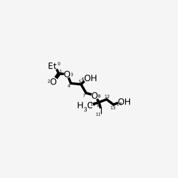 CCC(=O)OCC(O)COC(C)(I)CCO